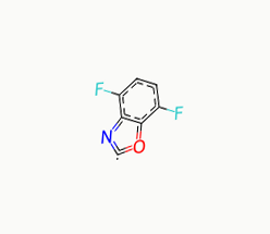 Fc1ccc(F)c2o[c]nc12